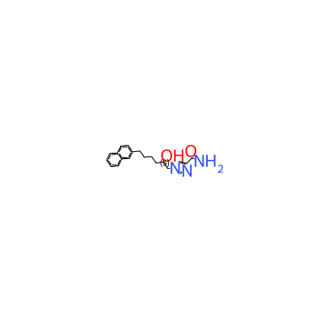 NC(=O)c1cn(C[C@@H](O)CCCCc2ccc3ccccc3c2)cn1